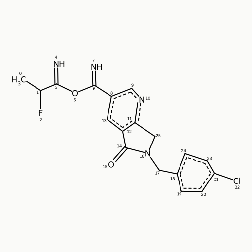 CC(F)C(=N)OC(=N)c1cnc2c(c1)C(=O)N(Cc1ccc(Cl)cc1)C2